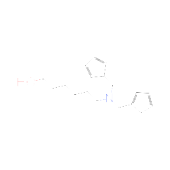 OCCCCCCN(CC1=CC=CC1)CC1C=CC=C1